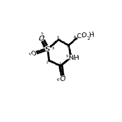 O=C1CS(=O)(=O)CC(C(=O)O)N1